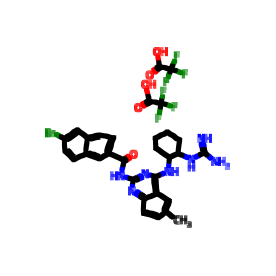 Cc1ccc2nc(NC(=O)c3ccc4cc(Br)ccc4c3)nc(NC3CCCCC3NC(=N)N)c2c1.O=C(O)C(F)(F)F.O=C(O)C(F)(F)F